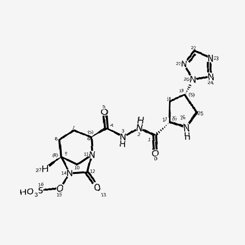 O=C(NNC(=O)[C@@H]1CC[C@@H]2CN1C(=O)N2OS(=O)(=O)O)[C@@H]1C[C@H](n2ncnn2)CN1